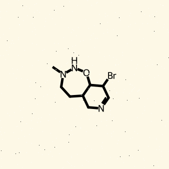 CN1CCC2CN=CC(Br)C2ON1